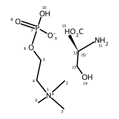 C[N+](C)(C)CCOP(=O)([O-])O.N[C@@H](CO)C(=O)O